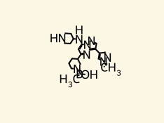 CB(O)N1CCCC(c2cc(NC3CCNCC3)n3ncc(-c4cnn(C)c4)c3n2)C1